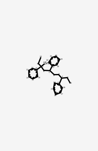 CCC(CCC(C[C]([SnH])(CC)c1ccccc1)c1ccccc1)c1ccccc1